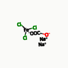 O=C([O-])[O-].[Cl][Fe]([Cl])[Cl].[Na+].[Na+]